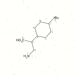 CC(C)(C)C1CCC(C(CN)C(=O)O)CC1